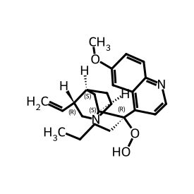 C=C[C@H]1CN2CC[C@H]1C[C@H]2[C@](CCCC)(OO)c1ccnc2ccc(OC)cc12